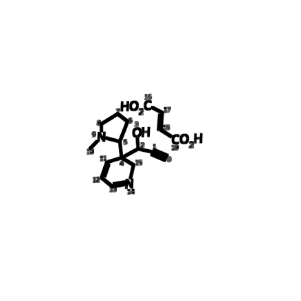 C#CC(O)C1(C2CCCN2C)C=CC=NC1.O=C(O)/C=C/C(=O)O